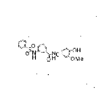 COc1cc(CNC(=O)c2cccc(NS(=O)(=O)c3ccccc3)c2)ccc1O